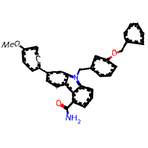 COc1ccc(-c2c[c]c3c4c(C(N)=O)cccc4n(Cc4cccc(OCc5ccccc5)c4)c3c2)cc1